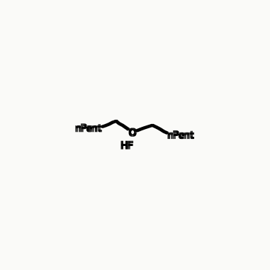 CCCCCCOCCCCCC.F